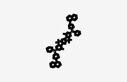 Cc1cc(N(c2ccccc2)c2ccc(-c3cccc4ccccc34)cc2)cc2c1-c1cc3c(cc1C2(C)C)-c1c(C)cc(N(c2ccccc2)c2ccc(-c4cccc5ccccc45)cc2)cc1C3(C)C